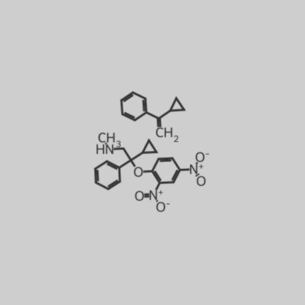 C=C(c1ccccc1)C1CC1.CNCC(Oc1ccc([N+](=O)[O-])cc1[N+](=O)[O-])(c1ccccc1)C1CC1